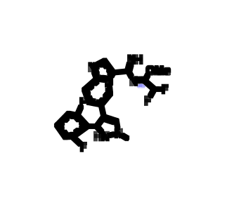 CO/C(=N\C(=N)c1cnc2ccc(C3=CN(C)NC3c3c(F)cccc3F)cn12)C(F)F